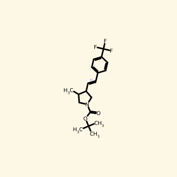 CC1CN(C(=O)OC(C)(C)C)CC1/C=C/c1ccc(C(F)(F)F)cc1